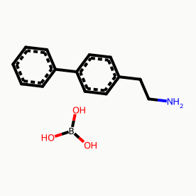 NCCc1ccc(-c2ccccc2)cc1.OB(O)O